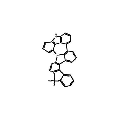 CC1(C)c2ccccc2-c2c1ccc1c2c2cccc3c4cccc5[nH]c6cccc(c6c54)n1c32